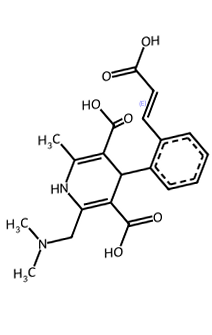 CC1=C(C(=O)O)C(c2ccccc2/C=C/C(=O)O)C(C(=O)O)=C(CN(C)C)N1